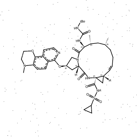 C[C@@H]1CCC=C[C@@H]2C[C@@]2(C(=O)NS(=O)(=O)C2CC2)NC(=O)[C@@H]2C[C@@H](Oc3nccc4c5c(ccc34)N(C)CCO5)CN2C(=O)[C@@H](NC(=O)NC(C)(C)C)[C@H](C)C1